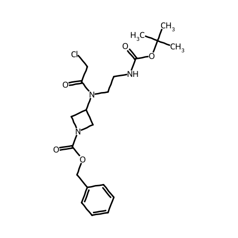 CC(C)(C)OC(=O)NCCN(C(=O)CCl)C1CN(C(=O)OCc2ccccc2)C1